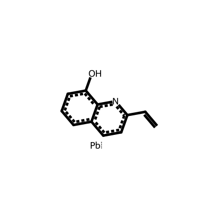 C=Cc1ccc2cccc(O)c2n1.[Pb]